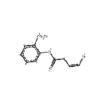 CC/C=C\CC(=O)Oc1ccccc1C(=O)OCC